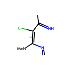 C=N/C(NC)=C(/Cl)C(C)=N